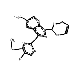 CSc1nc(-c2nn(C3CC=CCO3)c3ncc(C)cc23)ncc1F